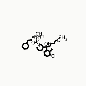 CNC[C@H](CC1CCCCC1)OC(=O)N1CCCC([C@@](O)(CCCCOC)c2cccc(Cl)c2F)C1